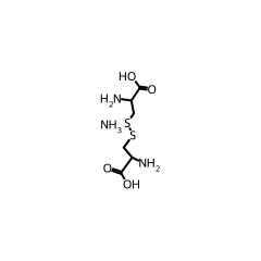 N.NC(CSSCC(N)C(=O)O)C(=O)O